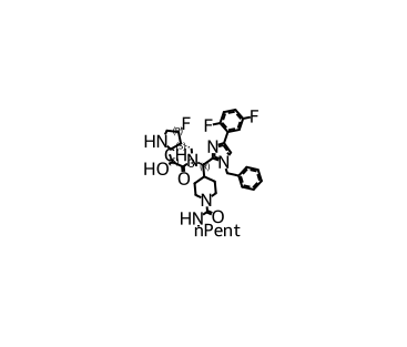 CCCCCNC(=O)N1CCC([C@H](c2nc(-c3cc(F)ccc3F)cn2Cc2ccccc2)N(C[C@@H]2CNC[C@@H]2F)C(=O)[C@H](C)O)CC1